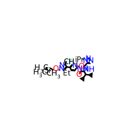 CCc1c(-c2ccc(NC(=O)[C@@H](NC(=O)c3cnnn3C(C)C)C(C3CC3)C3CC3)nc2F)c(C)nn1COCC[Si](C)(C)C